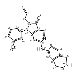 C=CCn1c(=O)c2cnc(Nc3ccc4c(c3)CCNC4)nc2n1-c1cccc(CC)n1